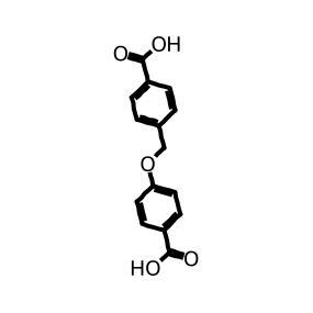 O=C(O)c1ccc(COc2ccc(C(=O)O)cc2)cc1